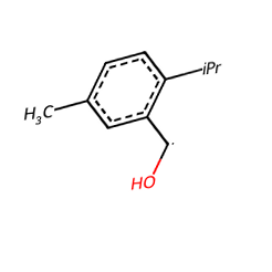 Cc1ccc(C(C)C)c([CH]O)c1